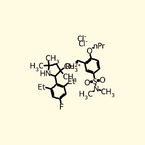 CCCOc1ccc(S(=O)(=O)N(C)C)cc1[CH]=[Ru+2].CCc1cc(F)cc(CC)c1C1NC(C)(C)CC1(C)C.[Cl-].[Cl-]